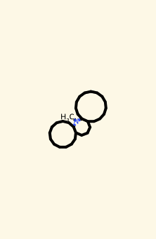 CN1C2CCCCCCCCCCCCCC2CCCC2CCCCCCCCCCCC21